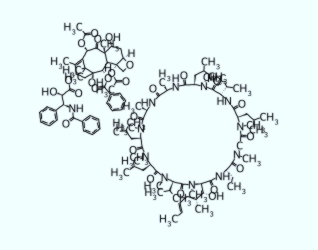 C/C=C/C[C@@H](C)[C@@H](O)[C@@H]1C(=O)N[C@@H](CC)C(=O)N(C)CC(=O)N(C)[C@H](CC(C)C)C(=O)N[C@@H](C(C)C)C(=O)N(C)[C@H](CC(C)C)C(=O)N[C@H](C)C(=O)N[C@H](C)C(=O)N(C)[C@H](CC(C)C)C(=O)N(C)[C@H](CC(C)C)C(=O)N(C)[C@H](C(C)C)C(=O)N1C.CC(=O)O[C@H]1C(=O)[C@@]2(C)[C@H]([C@H](OC(=O)c3ccccc3)[C@]3(O)C[C@H](OC(=O)[C@H](O)[C@@H](NC(=O)c4ccccc4)c4ccccc4)C(C)=C1C3(C)C)[C@]1(OC(C)=O)CO[C@@H]1C[C@@H]2O